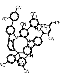 C=C(/C(C#N)=C\C(C#N)=C/C)c1ccc2c3ccc4cc3n(c2c1)-c1cc(-c2cc(C(F)(F)F)cc(C(F)(F)F)c2)c(C#N)cc1-n1c2cc(-c3ccc(C#N)cc3C#N)ccc2c2ccc(cc21)C4(c1ccc(C#N)cc1C#N)c1ccc(C#N)cc1C#N